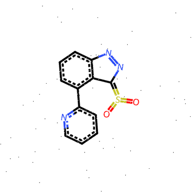 O=S(=O)=C1N=Nc2cccc(-c3ccccn3)c21